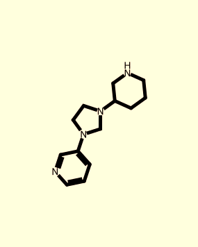 c1cncc(N2CCN(C3CCCNC3)C2)c1